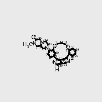 CN1CC2CN(c3ccc4cc3OCCCOc3cccc(F)c3-c3cc5c-4n[nH]c5cn3)CCN2CC1=O